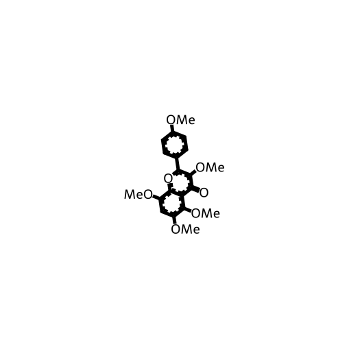 COc1ccc(-c2oc3c(OC)cc(OC)c(OC)c3c(=O)c2OC)cc1